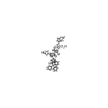 CN1C=C2SC=C(C=CC3(C(=O)O)CS[C@@H]4[C@H](NC(=O)C(=NOC5CCCC5)c5nsc(NC(c6ccccc6)(c6ccccc6)c6ccccc6)n5)C(=O)N4C3)N2C1.I